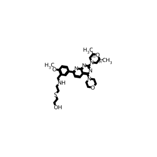 COc1ccc(-c2ccc3c(N4CCOCC4)nc(N4C[C@@H](C)O[C@@H](C)C4)nc3n2)cc1CNCCSCCO